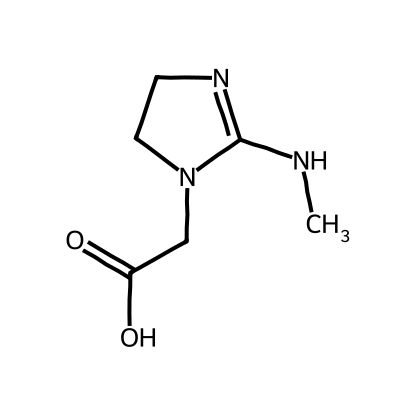 CNC1=NCCN1CC(=O)O